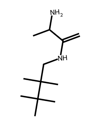 C=C(NCC(C)(C)C(C)(C)C)C(C)N